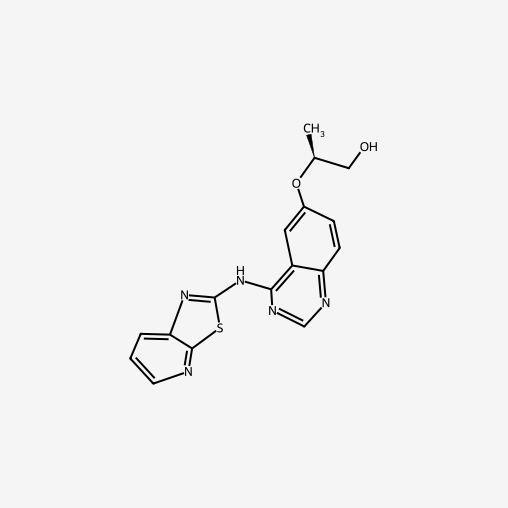 C[C@@H](CO)Oc1ccc2ncnc(Nc3nc4cccnc4s3)c2c1